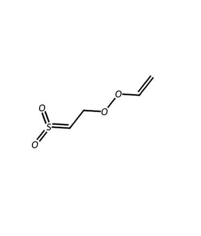 C=COOCC=S(=O)=O